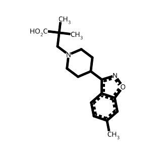 Cc1ccc2c(C3CCN(CC(C)(C)C(=O)O)CC3)noc2c1